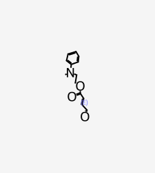 CN(CCOC(=O)/C=C/C=O)c1ccccc1